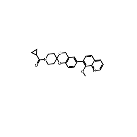 COc1c(-c2ccc3c(c2)COC2(CCN(C(=O)C4CC4)CC2)O3)ccc2cccnc12